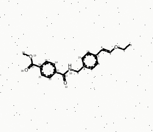 CCOC=Cc1ccc(CNC(=O)c2ccc(C(=O)OC)cc2)cc1